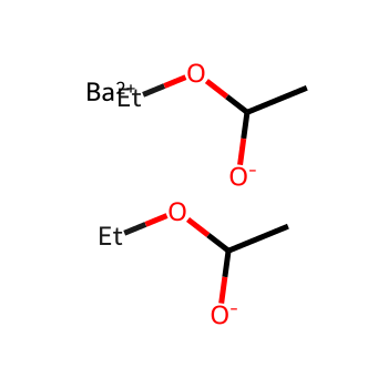 CCOC(C)[O-].CCOC(C)[O-].[Ba+2]